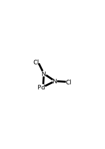 Cl[N]1[Pd][N]1Cl